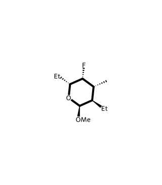 CC[C@H]1[C@@H](OC)O[C@H](CC)[C@H](F)[C@@H]1C